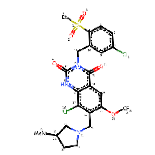 CCS(=O)(=O)c1ccc(Cl)cc1Cn1c(=O)[nH]c2c(Cl)c(CN3CC[C@@H](NC)C3)c(OC(F)(F)F)cc2c1=O